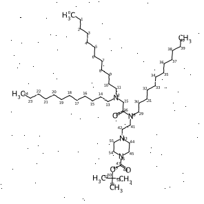 CCCCCCCCCCCCN(CCCCCCCCCCCC)CC(=O)N(CCCCCCCCCCCC)CCN1CCN(C(=O)OC(C)(C)C)CC1